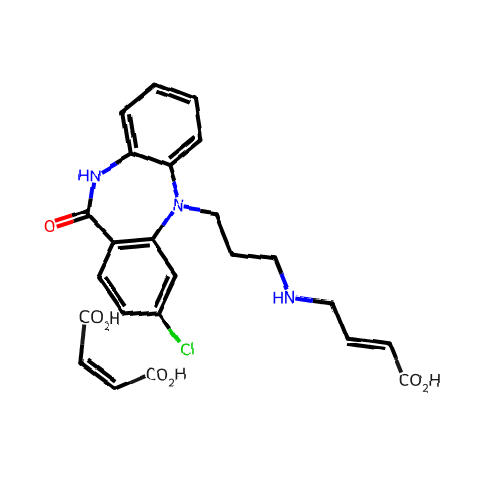 O=C(O)/C=C/CNCCCN1c2ccccc2NC(=O)c2ccc(Cl)cc21.O=C(O)/C=C\C(=O)O